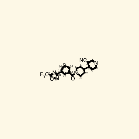 N#Cc1cnccc1C1CCN(C(=O)c2cccc(-c3noc(C(F)(F)F)n3)c2)CC1